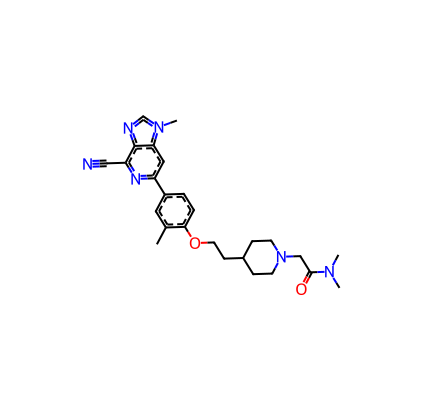 Cc1cc(-c2cc3c(ncn3C)c(C#N)n2)ccc1OCCC1CCN(CC(=O)N(C)C)CC1